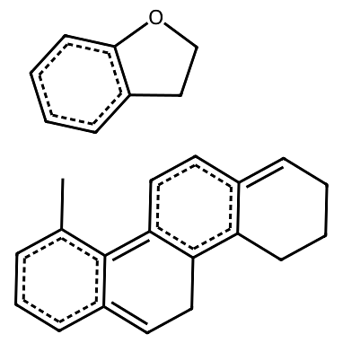 Cc1cccc2c1=c1ccc3c(c1CC=2)CCCC=3.c1ccc2c(c1)CCO2